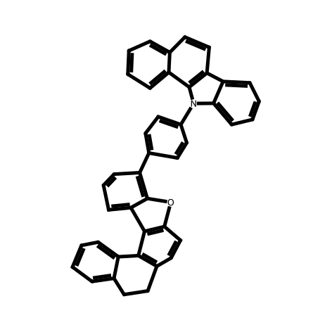 c1ccc2c(c1)CCc1ccc3oc4c(-c5ccc(-n6c7ccccc7c7ccc8ccccc8c76)cc5)cccc4c3c1-2